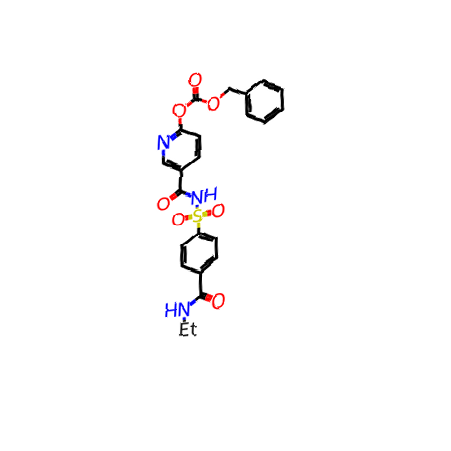 CCNC(=O)c1ccc(S(=O)(=O)NC(=O)c2ccc(OC(=O)OCc3ccccc3)nc2)cc1